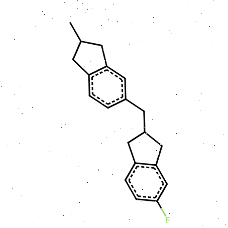 CC1Cc2ccc(CC3Cc4ccc(F)cc4C3)cc2C1